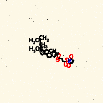 CC(C)CCC[C@@H](C)[C@H]1CCC2C3CC=C4C[C@@H](OC(=O)CCC(=O)ON5C(=O)CCC5=O)CC[C@]4(C)C3CC[C@@]21C